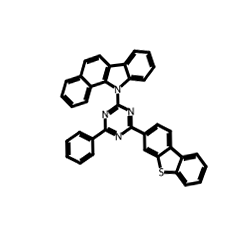 c1ccc(-c2nc(-c3ccc4c(c3)sc3ccccc34)nc(-n3c4ccccc4c4ccc5ccccc5c43)n2)cc1